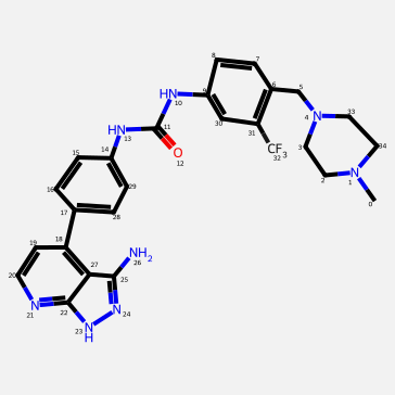 CN1CCN(Cc2ccc(NC(=O)Nc3ccc(-c4ccnc5[nH]nc(N)c45)cc3)cc2C(F)(F)F)CC1